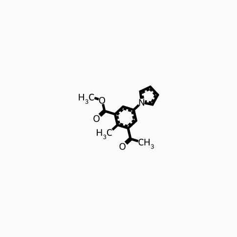 COC(=O)c1cc(-n2cccc2)cc(C(C)=O)c1C